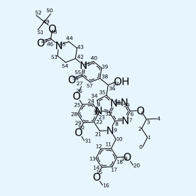 CCCC(C)Oc1nc(N(Cc2ccc(OC)cc2OC)Cc2ccc(OC)cc2OC)c2ncc(C(O)c3ccn(C4CCN(C(=O)OC(C)(C)C)CC4)c(=O)c3)n2n1